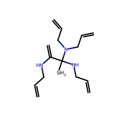 C=CCNC(=C)C([SiH3])(NCC=C)N(CC=C)CC=C